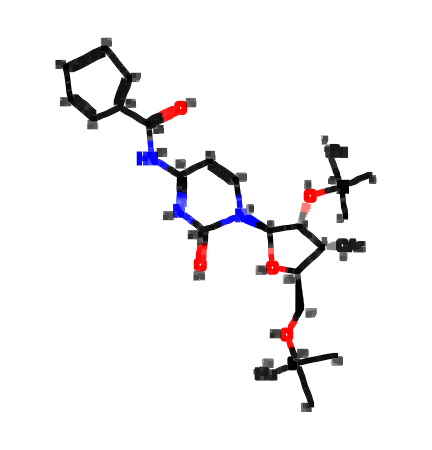 CC(=O)O[C@H]1[C@@H](O[Si](C)(C)C(C)(C)C)[C@H](n2ccc(NC(=O)c3ccccc3)nc2=O)O[C@@H]1CO[Si](C)(C)C(C)(C)C